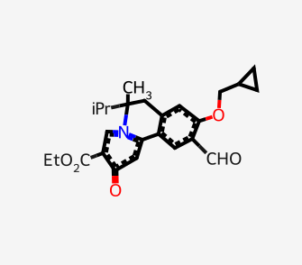 CCOC(=O)c1cn2c(cc1=O)-c1cc(C=O)c(OCC3CC3)cc1CC2(C)C(C)C